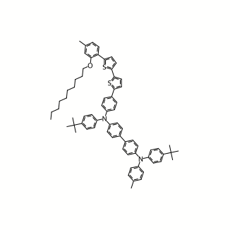 CCCCCCCCCCOc1cc(C)ccc1-c1ccc(-c2ccc(-c3ccc(N(c4ccc(-c5ccc(N(c6ccc(C)cc6)c6ccc(C(C)(C)C)cc6)cc5)cc4)c4ccc(C(C)(C)C)cc4)cc3)s2)s1